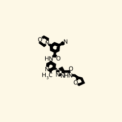 Cc1ncc(NC(=O)c2cc(C#N)cc(N3CCOCC3)c2)cc1-n1cc(C(=O)NCC2CCCO2)nn1